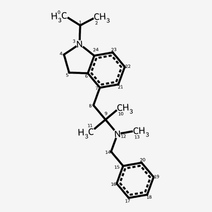 CC(C)N1CCc2c(CC(C)(C)N(C)Cc3ccccc3)cccc21